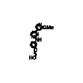 COc1cc(-c2ccnc(Nc3cccc(OCCO)c3)n2)ccn1